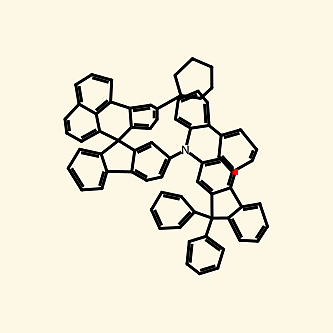 c1ccc(-c2ccccc2N(c2ccc3c(c2)C(c2ccccc2)(c2ccccc2)c2ccccc2-3)c2ccc3c(c2)C2(c4ccccc4-3)c3ccc(C4CCCCC4)cc3-c3cccc4cccc2c34)cc1